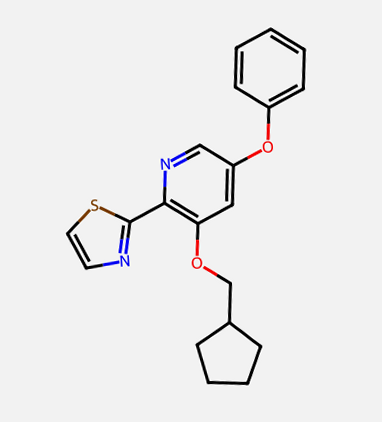 c1ccc(Oc2cnc(-c3nccs3)c(OCC3CCCC3)c2)cc1